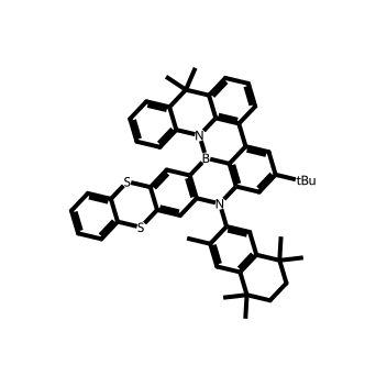 Cc1cc2c(cc1N1c3cc4c(cc3B3c5c(cc(C(C)(C)C)cc51)-c1cccc5c1N3c1ccccc1C5(C)C)Sc1ccccc1S4)C(C)(C)CCC2(C)C